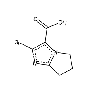 O=C(O)c1c(Br)nc2n1CCC2